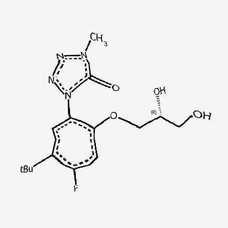 Cn1nnn(-c2cc(C(C)(C)C)c(F)cc2OC[C@H](O)CO)c1=O